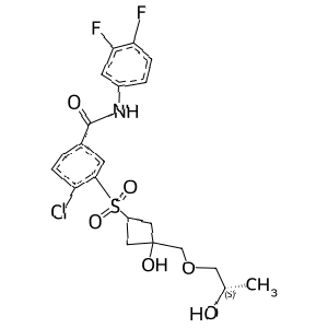 C[C@H](O)COCC1(O)CC(S(=O)(=O)c2cc(C(=O)Nc3ccc(F)c(F)c3)ccc2Cl)C1